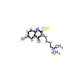 CN(C)CCCCn1c(S)nc2ccc(Br)cc2c1=O